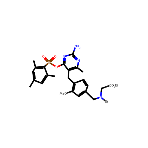 CCOC(=O)CN(CC)Cc1ccc(Cc2c(C)nc(N)nc2OS(=O)(=O)c2c(C)cc(C)cc2C)c(OC)c1